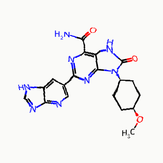 CO[C@H]1CC[C@@H](n2c(=O)[nH]c3c(C(N)=O)nc(-c4cnc5nc[nH]c5c4)nc32)CC1